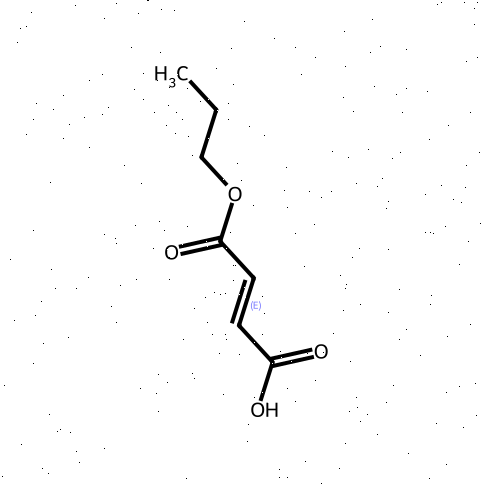 CCCOC(=O)/C=C/C(=O)O